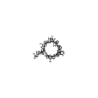 C/C=C(\C)[C@H]1OC(=O)[C@@H](C)NC(=O)[C@H](C(C)CC)NC(=O)CN(C)C(=O)[C@@H](Cc2ccccc2)N(C)C(=O)[C@H](C)NC(=O)[C@@H](CC(C)C)OC(=O)/C(C)=C/C[C@H](OC(=O)NCCOC(C)C)[C@@H]1C